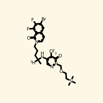 [2H]C(C)(CCCn1ccc2cc(Br)c(F)c(F)c2c1=O)Nc1cnn(COCC[Si](C)(C)C)c(=O)c1C(F)(F)F